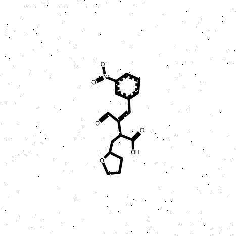 O=CC(=Cc1cccc([N+](=O)[O-])c1)C(CC1CCCO1)C(=O)O